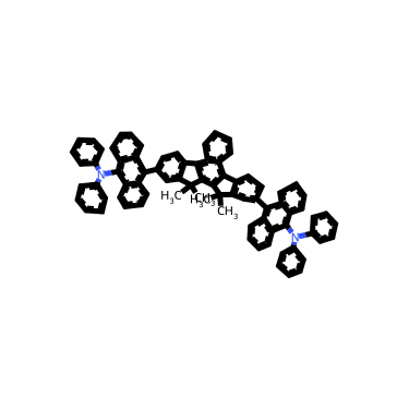 CC1(C)c2cc(-c3c4ccccc4c(N(c4ccccc4)c4ccccc4)c4ccccc34)ccc2-c2c1c1c(c3ccccc23)-c2ccc(-c3c4ccccc4c(N(c4ccccc4)c4ccccc4)c4ccccc34)cc2C1(C)C